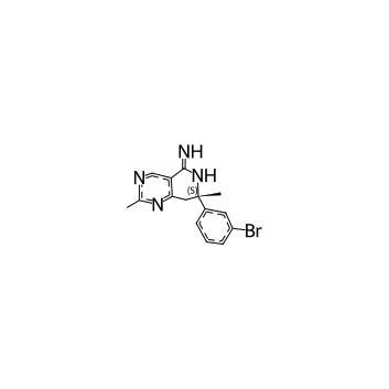 Cc1ncc2c(n1)C[C@@](C)(c1cccc(Br)c1)NC2=N